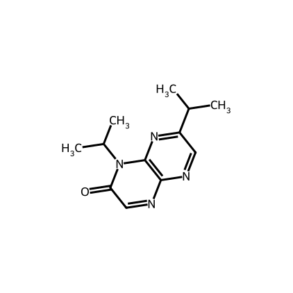 CC(C)c1cnc2ncc(=O)n(C(C)C)c2n1